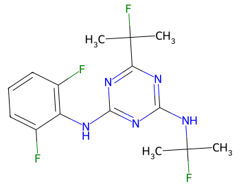 CC(C)(F)Nc1nc(Nc2c(F)cccc2F)nc(C(C)(C)F)n1